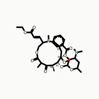 CCOC(=O)/C=C/C1COC(=O)C(C)C(=O)[C@H](C)[C@@H](OC2OC(C)CC(N(C)C)C2OC(=O)c2ccccc2)[C@](C)(OC)C[C@@H](C)CN1C